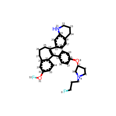 FCCCN1CC[C@H](Oc2ccc(C3=C(c4ccc5c(c4)NCCC5)CCCc4cc(OF)ccc43)cc2)C1